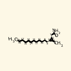 C=C1[C@@H](CC(N)=O)[C@H]1CCCCCCCCCCCC